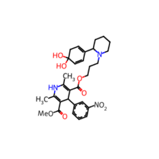 COC(=O)C1=C(C)NC(C)=C(C(=O)OCCCN2CCCCC2C2=CCC(O)(O)C=C2)C1c1cccc([N+](=O)[O-])c1